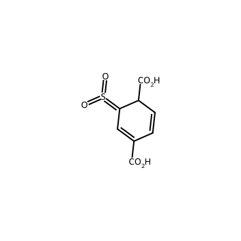 O=C(O)C1=CC(=S(=O)=O)C(C(=O)O)C=C1